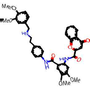 COc1ccc(CNCCc2ccc(NC(=O)c3cc(OC)c(OC)cc3NC(=O)c3cc(=O)c4ccccc4o3)cc2)cc1OC